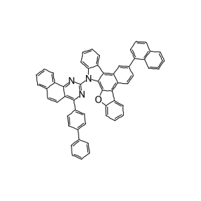 C1=C=Cc2c(cccc2-c2ccc3c(c2)c2c4ccccc4n(-c4nc(-c5ccc(-c6ccccc6)cc5)c5ccc6ccccc6c5n4)c2c2oc4ccccc4c32)C=1